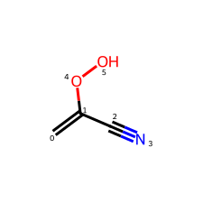 C=C(C#N)OO